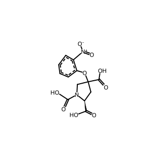 O=C(O)[C@@H]1CC(Oc2ccccc2[N+](=O)[O-])(C(=O)O)CN1C(=O)O